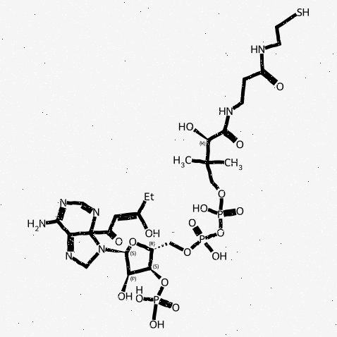 CCC(O)=CC(=O)C12N=CN=C(N)C1=NCN2[C@H]1O[C@H](COP(=O)(O)OP(=O)(O)OCC(C)(C)[C@@H](O)C(=O)NCCC(=O)NCCS)[C@@H](OP(=O)(O)O)[C@H]1O